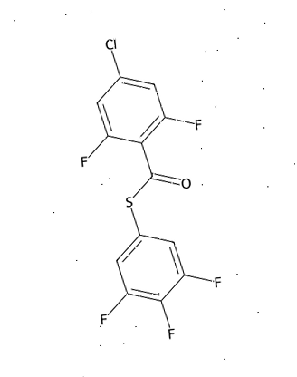 O=C(Sc1cc(F)c(F)c(F)c1)c1c(F)cc(Cl)cc1F